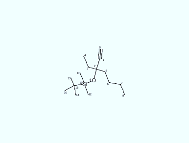 C#CC(CC)(CCCC)O[Si](C)(C)C(C)(C)C